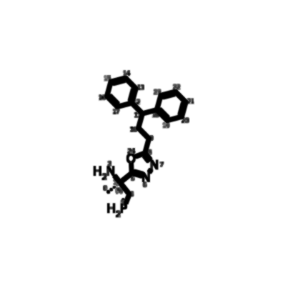 C[C@@](N)(CP)c1nnc(CCC(c2ccccc2)c2ccccc2)o1